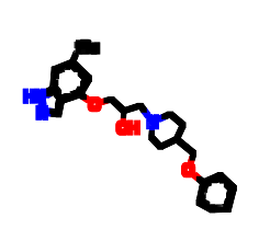 CC(C)(C)c1cc(OCC(O)CN2CCC(COc3ccccc3)CC2)c2cn[nH]c2c1